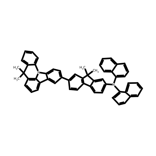 CC1(C)c2cc(-c3ccc4c(c3)c3cccc5c3n4-c3ccccc3C5(C)C)ccc2-c2ccc(N(c3cccc4ccccc34)c3cccc4ccccc34)cc21